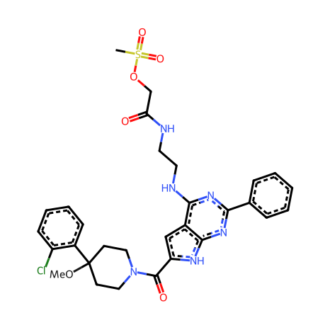 COC1(c2ccccc2Cl)CCN(C(=O)c2cc3c(NCCNC(=O)COS(C)(=O)=O)nc(-c4ccccc4)nc3[nH]2)CC1